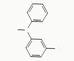 CCN(c1ccccc1)c1cccc(C#N)c1